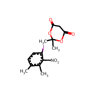 CC1(C)OC(=O)CC(=O)O1.Cc1ccc(I)c([N+](=O)[O-])c1C